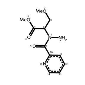 COCC(C(=O)OC)N(N)C(=O)c1ccccn1